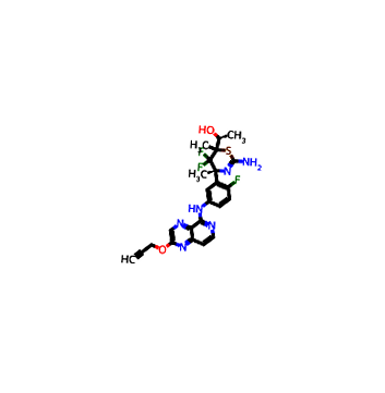 C#CCOc1cnc2c(Nc3ccc(F)c([C@@]4(C)N=C(N)SC(C)([C@H](C)O)C4(F)F)c3)nccc2n1